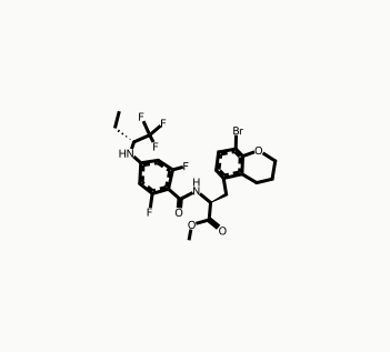 CC[C@@H](Nc1cc(F)c(C(=O)N[C@@H](Cc2ccc(Br)c3c2CCCO3)C(=O)OC)c(F)c1)C(F)(F)F